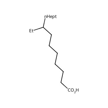 CCCCCCCC(CC)CCCCCCC(=O)O